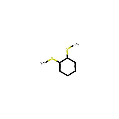 CCCSC1CCCCC1SCCC